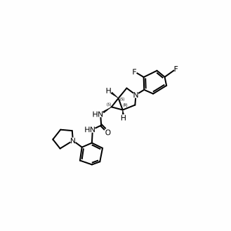 O=C(Nc1ccccc1N1CCCC1)N[C@H]1[C@@H]2CN(c3ccc(F)cc3F)C[C@@H]21